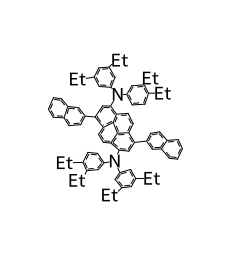 CCc1cc(CC)cc(N(c2ccc(CC)c(CC)c2)c2cc(-c3ccc4ccccc4c3)c3ccc4c(N(c5cc(CC)cc(CC)c5)c5ccc(CC)c(CC)c5)cc(-c5ccc6ccccc6c5)c5ccc2c3c54)c1